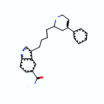 NC(=O)c1ccc2[nH]cc(CCCCC3CC(c4ccccc4)=CCN3)c2c1